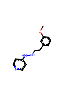 COc1cccc(CCNNc2ccncc2)c1